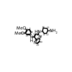 COc1ccc(Nc2cc(N[C@H]3CC[C@H](N)CC3)nn3ccnc23)cc1OC